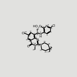 C[C@@H](Nc1ccc(Cl)nc1C(=O)O)c1cc(Cl)cc2c(=O)n(C)c(N3CCC(C)(C)CC3)nc12